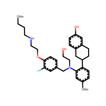 COCCCNCCOc1ccc(CN(CCO)c2cc(OC)ccc2C2CCc3cc(O)ccc3C2)cc1F